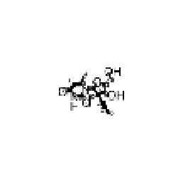 CC#CC1(F)[C@@H](O)[C@@H](CO)O[C@H]1n1c(C)cc(=O)[nH]c1=O